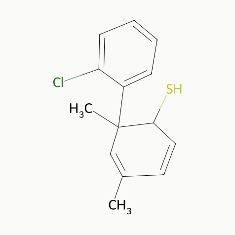 CC1=CC(C)(c2ccccc2Cl)C(S)C=C1